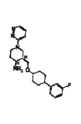 N[C@H]1CCN(c2cccnn2)C[C@H]1COC1CCC(c2cccc(F)c2)CC1